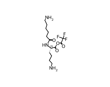 NCCCCCC(=O)N[C@@H](CCCCN)C(=O)OC(=O)C(F)(F)F